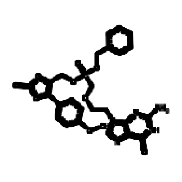 COc1ccc(-c2oc(=O)oc2COP(=O)(COCCn2cnc3c(=O)[nH]c(N)nc32)OCc2ccccc2)cc1